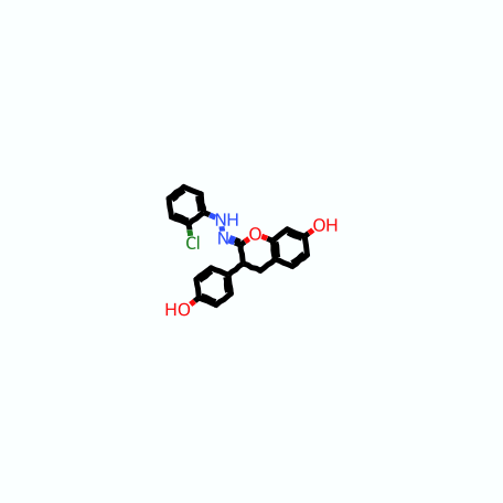 Oc1ccc(C2Cc3ccc(O)cc3OC2=NNc2ccccc2Cl)cc1